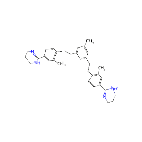 Cc1cc(CCc2ccc(C3=NCCCN3)cc2C)cc(CCc2ccc(C3=NCCCN3)cc2C)c1